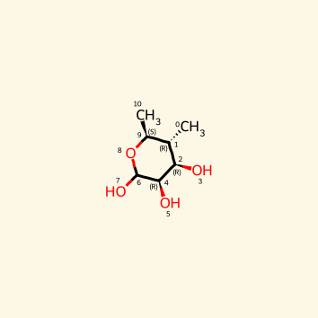 C[C@@H]1[C@@H](O)[C@@H](O)C(O)O[C@H]1C